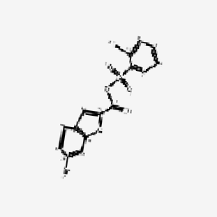 O=C(OS(=O)(=O)c1ccccc1F)c1cc2ccc(Br)cc2o1